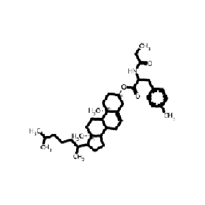 CCC(=O)NC(Cc1ccc(C)cc1)C(=O)O[C@H]1CC[C@@]2(C)C(=CCC3C4CCC(C(C)CCCC(C)C)[C@@]4(C)CCC32)C1